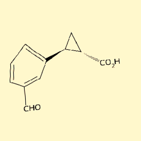 O=Cc1cccc([C@H]2C[C@@H]2C(=O)O)c1